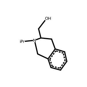 CC(C)N1Cc2ccccc2CC1CO